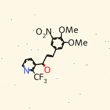 COc1cc(C=CC(=O)c2cccnc2C(F)(F)F)cc([N+](=O)[O-])c1OC